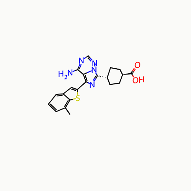 Cc1cccc2cc(-c3nc([C@H]4CC[C@H](C(=O)O)CC4)n4ncnc(N)c34)sc12